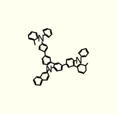 Cc1ccccc1N(c1ccccc1)c1ccc(-c2ccc3c(c2)c2cc(-c4ccc5c(c4)c4c(n5-c5ccccc5)C(C)CC=C4)ccc2n3-c2ccc3ccccc3c2)cc1